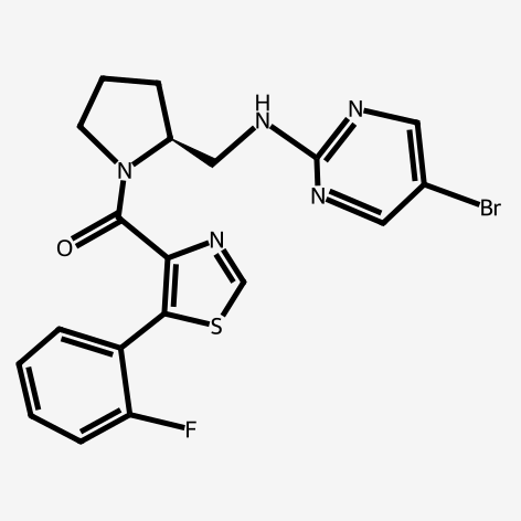 O=C(c1ncsc1-c1ccccc1F)N1CCC[C@H]1CNc1ncc(Br)cn1